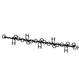 O=CCCCCCNC(=O)COCCOCCNC(=O)COCCOCCNC(=O)COCCOCCNC(=O)COCCOCCNC(=O)CCCC(=O)O